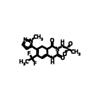 Cn1nccc1C1=C(C(C)(F)F)C=C2NC(=O)N(NS(C)(=O)=O)C(=O)C2C1